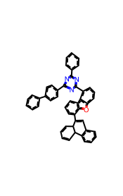 C1=CC2C(c3cccc4c3oc3cccc(-c5nc(-c6ccccc6)nc(-c6ccc(-c7ccccc7)cc6)n5)c34)=Cc3ccccc3C2C=C1